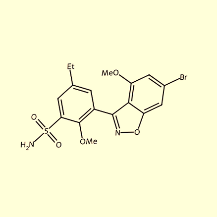 CCc1cc(-c2noc3cc(Br)cc(OC)c23)c(OC)c(S(N)(=O)=O)c1